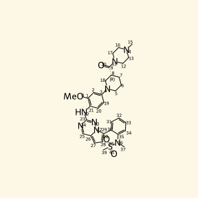 COc1cc(N2CCC[C@@H](C(=O)N3CCN(C)CC3)C2)ccc1Nc1ncc2ccc(-c3ccccc3N(C)S(C)(=O)=O)n2n1